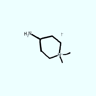 C[N+]1(C)CCC(N)CC1.[I-]